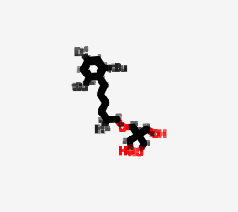 CCc1cc(C(C)(C)C)c(CCCCC(CC)COCC(CO)(CO)CO)c(C(C)(C)C)c1